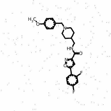 COc1ccc(CN2CCC(CNC(=O)c3cc(-c4ccc(F)cc4F)on3)CC2)cc1